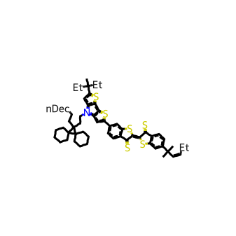 CC/C=C\C(C)(C)c1ccc2c(c1)S/C(=C1/Sc3cc(-c4cc5c(s4)c4sc(C(C)(CC)CC)cc4n5CCC4(CCCCCCCCCCCC)C5(CCCCC5)C45CCCCC5)ccc3C1=S)C2=S